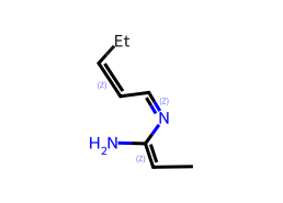 C\C=C(N)/N=C\C=C/CC